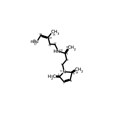 C=C(CCn1c(=C)ccc1=C)NCC/C(C)=C\CCCC